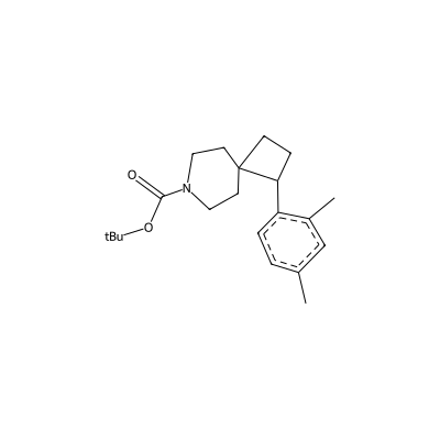 Cc1ccc(C2CCC23CCN(C(=O)OC(C)(C)C)CC3)c(C)c1